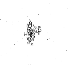 Cn1ccc(N(C2CCOCC2)S(=O)(=O)NC(=O)OC(C)(C)C)c1